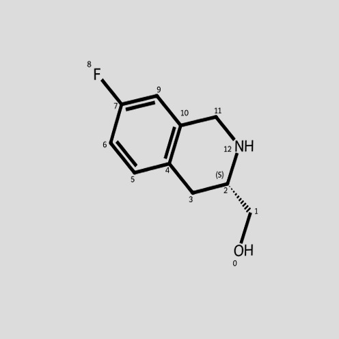 OC[C@@H]1Cc2ccc(F)cc2CN1